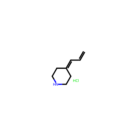 C=CC=C1CCNCC1.Cl